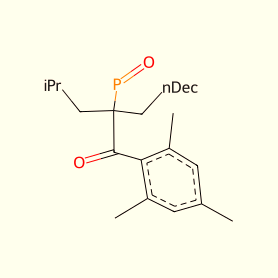 CCCCCCCCCCCC(CC(C)C)(P=O)C(=O)c1c(C)cc(C)cc1C